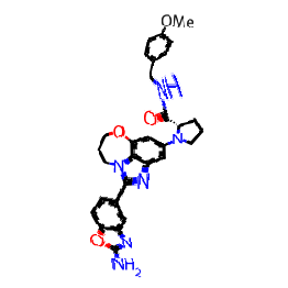 COc1ccc(CNC(=O)[C@@H]2CCCN2c2cc3c4c(c2)nc(-c2ccc5oc(N)nc5c2)n4CCCO3)cc1